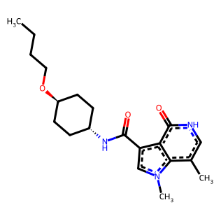 CCCCO[C@H]1CC[C@H](NC(=O)c2cn(C)c3c(C)c[nH]c(=O)c23)CC1